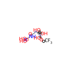 O=C(CCC/C=C\C[C@@H]1[C@@H](/C=C/[C@@H](O)COc2cccc(C(F)(F)F)c2)[C@H](O)C[C@@H]1O)NCCCON(O)O